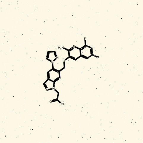 Nc1nc2c(F)cc(F)cc2cc1OCc1cc2c(cnn2CC(=O)O)cc1-n1cccn1